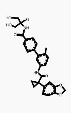 CCC(CO)(CO)NC(=O)c1ccc(-c2cc(NC(=O)C3(c4ccc5c(c4)OCO5)CC3)ccc2C)cc1